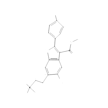 CNC(=O)c1c(-c2ccc(F)cc2)oc2cc(CCC(F)(F)F)c(O)cc12